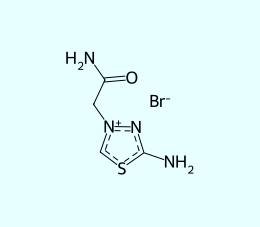 NC(=O)C[n+]1csc(N)n1.[Br-]